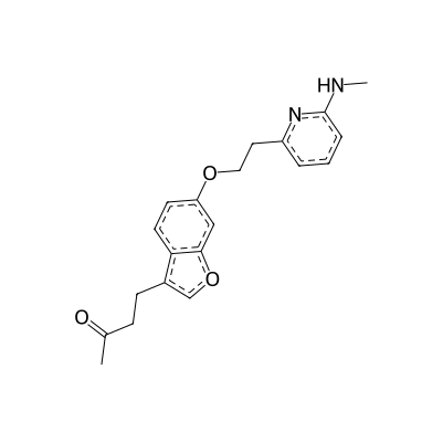 CNc1cccc(CCOc2ccc3c(CCC(C)=O)coc3c2)n1